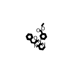 CCOC(=O)c1cccc(-n2c(=O)c(Cc3ccccc3)nc3cccnc32)c1